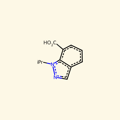 CC(C)n1ncc2cccc(C(=O)O)c21